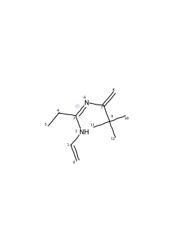 C=CN/C(CC)=N\C(=C)C(C)(C)C